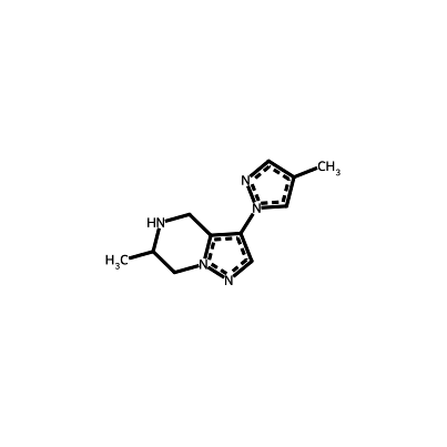 Cc1cnn(-c2cnn3c2CNC(C)C3)c1